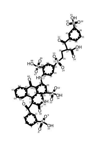 O=C(c1cccc(S(=O)(=O)O)c1)c1c2c3c(c(Nc4ccc(S(=O)(=O)CCC(C(=O)O)C(=O)c5cccc(S(=O)(=O)O)c5)cc4S(=O)(=O)O)cc(S(=O)(=O)O)c3[nH]c1=O)C(=O)c1ccccc1-2